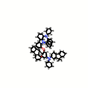 CC1(C)c2ccccc2-c2ccc(N(c3ccccc3)c3ccc4c(c3)Oc3c(ccc5c6cccc(N(c7ccccc7)c7ccccc7)c6n(-c6ccccc6)c35)C43c4ccccc4-c4ccccc43)cc21